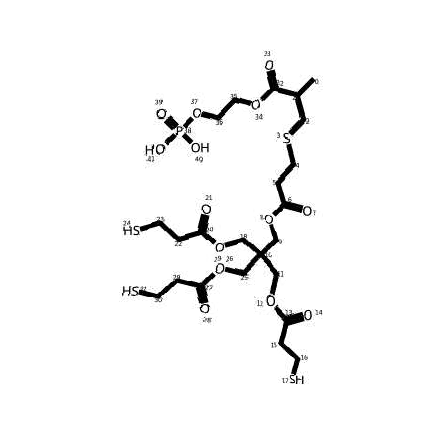 CC(CSCCC(=O)OCC(COC(=O)CCS)(COC(=O)CCS)COC(=O)CCS)C(=O)OCCOP(=O)(O)O